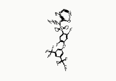 O=S(=O)(Nc1ncns1)c1cc(F)c(Oc2cc(C(F)(F)F)cc(C(F)(F)F)c2)cc1F